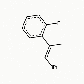 C/C(=C\C(C)C)c1ccccc1F